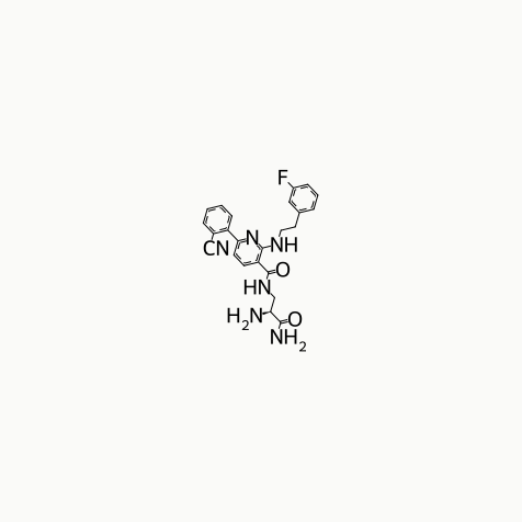 N#Cc1ccccc1-c1ccc(C(=O)NC[C@H](N)C(N)=O)c(NCCc2cccc(F)c2)n1